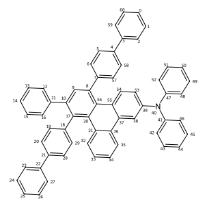 c1ccc(-c2ccc(-c3cc(-c4ccccc4)c(-c4ccc(-c5ccccc5)cc4)c4c5ccccc5c5cc(N(c6ccccc6)c6ccccc6)ccc5c34)cc2)cc1